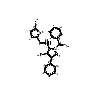 O=C(c1[c]cccc1)n1nc(-c2ccccc2)c(F)c1NCc1ccc(Cl)s1